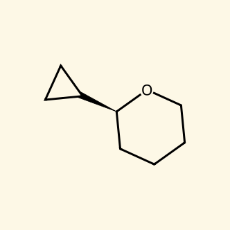 C1CC[C@@H](C2CC2)OC1